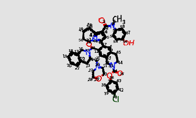 CN(C(=O)c1cc(-c2cc3c(cc2C(=O)N2Cc4ccccc4C[C@H]2CN2CCOCC2)CN(C(=O)Oc2ccc(Cl)cc2)CC3)n2c1CCCC2)c1ccc(O)cc1